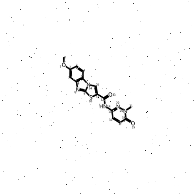 COc1ccc2c(c1)nc1sc(C(=O)Nc3ccc(=O)n(C)n3)cn12